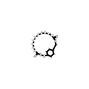 O=C1CCCCCCCCCCC(=O)OCC2CCC(CC2)CO1